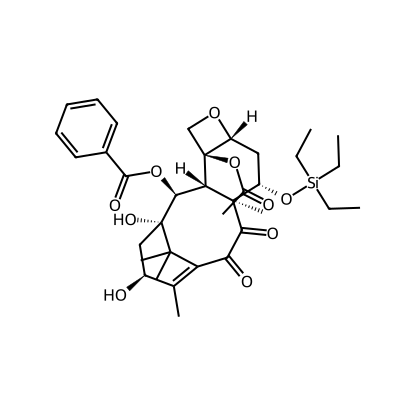 CC[Si](CC)(CC)O[C@H]1C[C@H]2OC[C@@]2(OC(C)=O)[C@H]2[C@H](OC(=O)c3ccccc3)[C@]3(O)C[C@H](O)C(C)=C(C(=O)C(=O)[C@]12C)C3(C)C